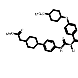 CCOC(=O)C1CCC(Oc2ccc(C(=O)N(CC)C(=O)Nc3ccc(C4CCC(CC(=O)OC)CC4)cc3)cc2)CC1